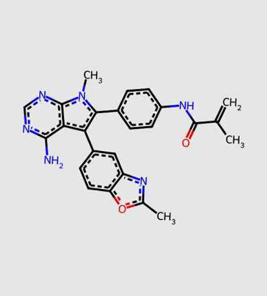 C=C(C)C(=O)Nc1ccc(-c2c(-c3ccc4oc(C)nc4c3)c3c(N)ncnc3n2C)cc1